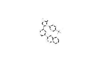 Cn1cc(-c2cncc(-c3cnc4ccccc4c3)c2)n(-c2ccc(C(C)(C)C#N)cc2)c1=O